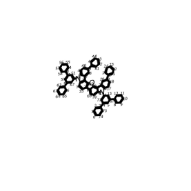 c1ccc(-c2cc(-c3ccccc3)cc(-n3c4ccc(-c5ccccc5)cc4c4c5oc6c(ccc7c6c6cc(-c8ccccc8)ccc6n7-c6cc(-c7ccccc7)cc(-c7ccccc7)c6)c5ccc43)c2)cc1